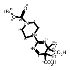 CCC1(C(=O)O)C=NC(N2CCN(C(=O)OC(C)(C)C)CC2)=NC1(CC)C(=O)O